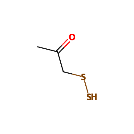 CC(=O)CSS